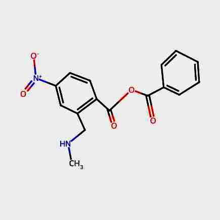 CNCc1cc([N+](=O)[O-])ccc1C(=O)OC(=O)c1ccccc1